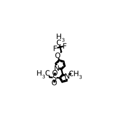 CCS(=O)(=O)c1ccn(C)c1-c1ccc(OCC(C)(F)F)cn1